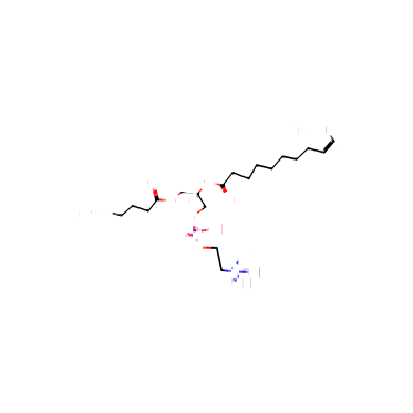 CCCCCCCC/C=C\CCCCCCCC(=O)O[C@H](COC(=O)CCCCCCCCCCCCC)COP(=O)(O)OCC[N+](C)(C)C